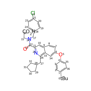 CC(C)(C)c1ccc(Oc2ccc3cc(C(=O)N(CC(=O)O)Cc4ccc(Cl)cc4)nc(CC4CCCC4)c3c2)cc1